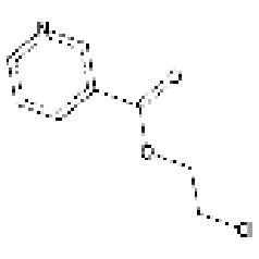 O=C(OCCCl)c1cccnc1